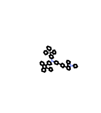 c1ccc(-c2c(-c3ccc(N(c4ccc(-c5ccc(-c6cccc7c6c6ccccc6n7-c6ccccc6)cc5)cc4)c4ccc([Si](c5ccccc5)(c5ccccc5)c5ccccc5)cc4)cc3)c3ccccc3c3ccccc23)cc1